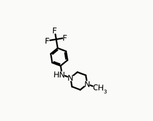 CN1CCN(Nc2ccc(C(F)(F)F)cc2)CC1